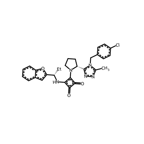 CC[C@H](Nc1c(N2CCC[C@@H]2c2nnc(C)n2Cc2ccc(Cl)cc2)c(=O)c1=O)c1cc2ccccc2o1